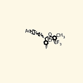 CC(=O)N1CCN(C2CN(CC[C@H](CN(C)C(=O)c3cc(C)cc(C(F)(F)F)c3)c3ccc(F)cc3)C2)CC1